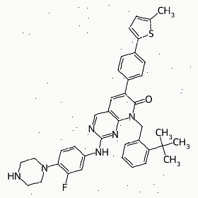 Cc1ccc(-c2ccc(-c3cc4cnc(Nc5ccc(N6CCNCC6)c(F)c5)nc4n(Cc4ccccc4C(C)(C)C)c3=O)cc2)s1